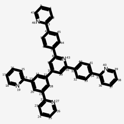 c1ccc(-c2ccc(-c3cc(-c4cc(-c5ccccn5)cc(-c5ccccn5)c4)cc(-c4ccc(-c5ccccn5)cc4)n3)cc2)nc1